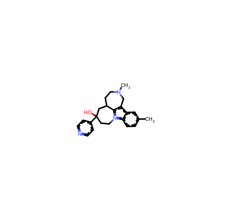 Cc1ccc2c(c1)c1c3n2CCC(O)(c2ccncc2)CC3CCN(C)C1